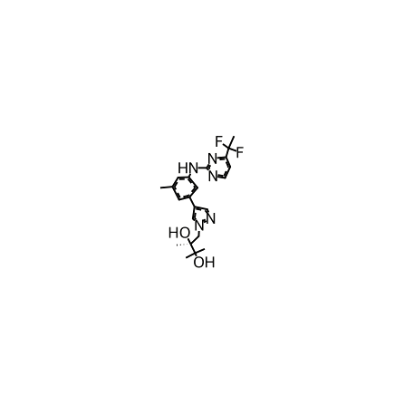 Cc1cc(Nc2nccc(C(C)(F)F)n2)cc(-c2cnn(C[C@](C)(O)C(C)(C)O)c2)c1